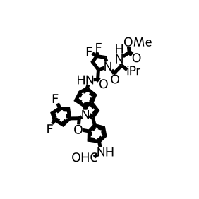 COC(=O)NC(C(=O)N1CC(F)(F)CC1C(=O)Nc1ccc2c(c1)cc1n2C(c2cc(F)cc(F)c2)Oc2cc(NC=O)ccc2-1)C(C)C